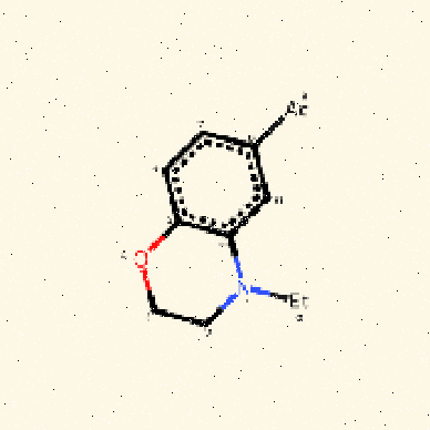 CCN1CCOc2ccc(C(C)=O)cc21